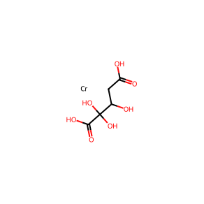 O=C(O)CC(O)C(O)(O)C(=O)O.[Cr]